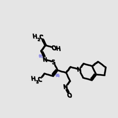 C=C(O)/C=N\S/C(=C\CC)C(CN=O)CN1CC=C2CCCC2C1